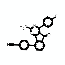 N#Cc1ccc(-c2cccc3c2-c2nc(N)nc(-c4ccc(F)cc4)c2C3=O)cc1